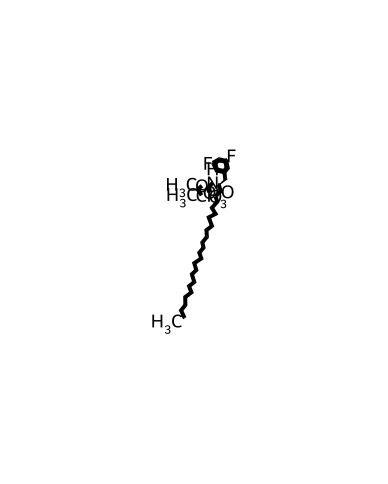 CCCCCCCCCCCCCCCCCCCCCCOC(=O)[C@H](Cc1cc(F)cc(F)c1)NC(=O)OC(C)(C)C